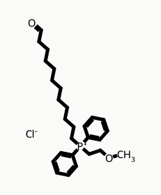 COCC[P+](CCCCCCCCCCCC=O)(c1ccccc1)c1ccccc1.[Cl-]